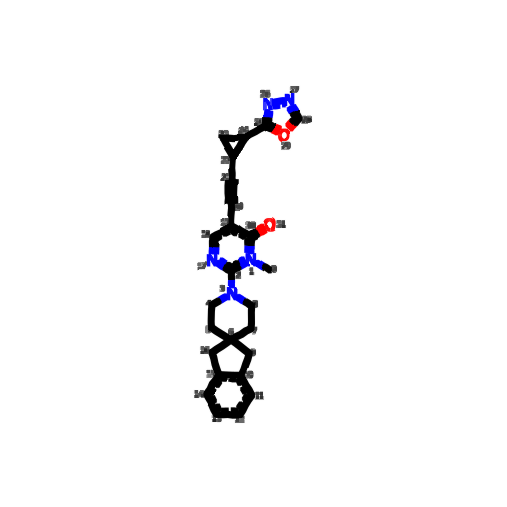 Cn1c(N2CCC3(CC2)Cc2ccccc2C3)ncc(C#CC2CC2c2nnco2)c1=O